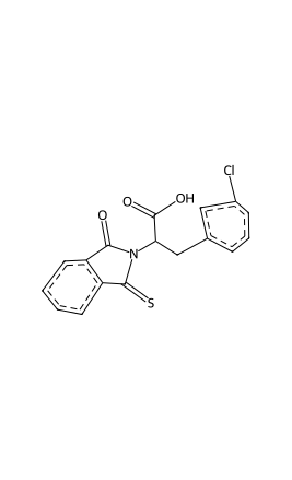 O=C(O)C(Cc1cccc(Cl)c1)N1C(=O)c2ccccc2C1=S